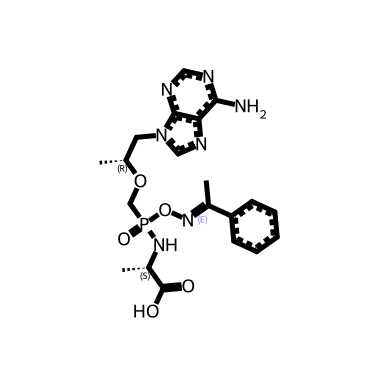 C/C(=N\OP(=O)(CO[C@H](C)Cn1cnc2c(N)ncnc21)N[C@@H](C)C(=O)O)c1ccccc1